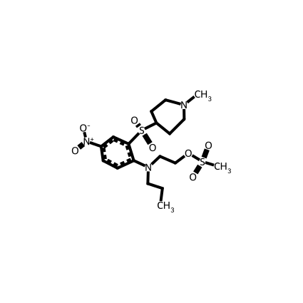 CCCN(CCOS(C)(=O)=O)c1ccc([N+](=O)[O-])cc1S(=O)(=O)C1CCN(C)CC1